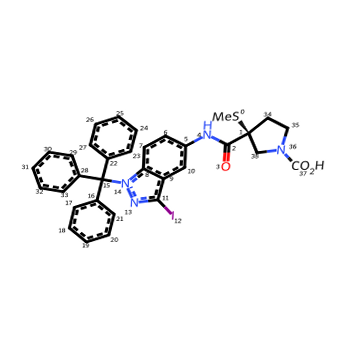 CS[C@@]1(C(=O)Nc2ccc3c(c2)c(I)nn3C(c2ccccc2)(c2ccccc2)c2ccccc2)CCN(C(=O)O)C1